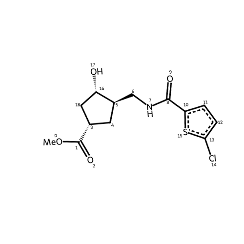 COC(=O)[C@H]1C[C@H](CNC(=O)c2ccc(Cl)s2)[C@@H](O)C1